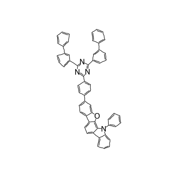 c1ccc(-c2cccc(-c3nc(-c4ccc(-c5ccc6c(c5)oc5c6ccc6c7ccccc7n(-c7ccccc7)c65)cc4)nc(-c4cccc(-c5ccccc5)c4)n3)c2)cc1